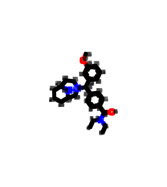 CCN(CC)C(=O)c1ccc(C(c2cccc(OC)c2)N2CCC3CCCC(C2)N3)cc1